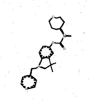 CN(C(=O)Oc1ccc2c(c1)C(C)(C)CN2Cc1ccncc1)C1CCOCC1